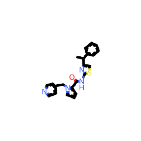 CC(c1ccccc1)c1csc(NC(=O)c2cccn2Cc2ccncc2)n1